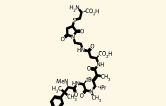 CN[C@H](C(=O)N[C@H](C(=O)N(C)[C@H](/C=C(\C)C(=O)N[C@@H](CC(=O)NCCN1C(=O)CC(SC[C@H](N)C(=O)O)C1=O)C(=O)O)C(C)C)C(C)(C)C)C(C)(C)c1ccccc1